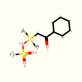 CC(C)S(CC(=O)C1CCCCC1)(OS(=O)(=O)C(F)(F)F)C(C)C